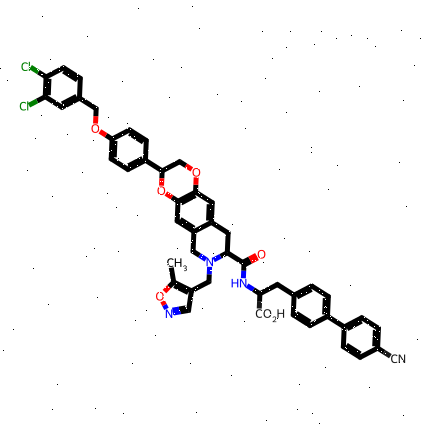 Cc1oncc1CN1Cc2cc3c(cc2CC1C(=O)NC(Cc1ccc(-c2ccc(C#N)cc2)cc1)C(=O)O)OCC(c1ccc(OCc2ccc(Cl)c(Cl)c2)cc1)O3